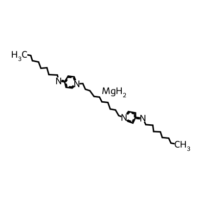 CCCCCCCCN=c1ccn(CCCCCCCCCCn2ccc(=NCCCCCCCC)cc2)cc1.[MgH2]